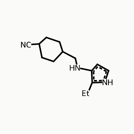 CCc1[nH]ccc1NCC1CCC(C#N)CC1